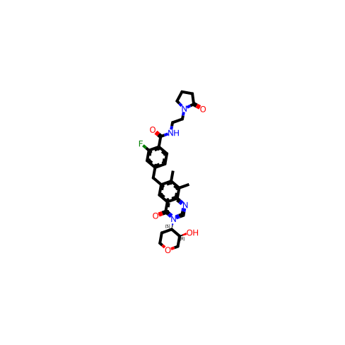 Cc1c(Cc2ccc(C(=O)NCCN3CCCC3=O)c(F)c2)cc2c(=O)n([C@H]3CCOC[C@@H]3O)cnc2c1C